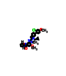 COc1ccc(-c2ccc3cc(-c4nc5cc(C(=O)N6C[C@H]7CC[C@@H]6[C@@H]7N)cc(OC)c5n4C)n(CC4CC4)c3c2)c(Cl)c1